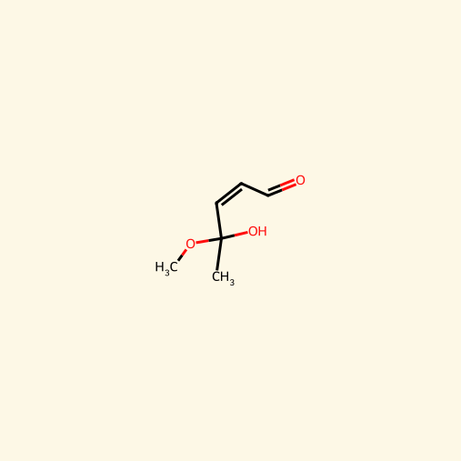 COC(C)(O)/C=C\C=O